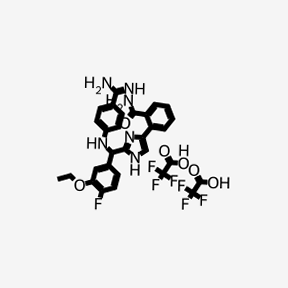 CCOc1cc(C(Nc2ccc(C(=N)N)cc2)c2nc(-c3ccccc3C(N)=O)c[nH]2)ccc1F.O=C(O)C(F)(F)F.O=C(O)C(F)(F)F